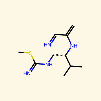 C=C(C=N)N[C@@H](CNC(=N)SC)C(C)C